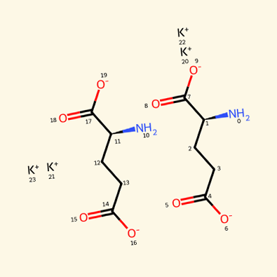 N[C@@H](CCC(=O)[O-])C(=O)[O-].N[C@@H](CCC(=O)[O-])C(=O)[O-].[K+].[K+].[K+].[K+]